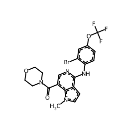 Cn1ccc2c(Nc3ccc(OC(F)(F)F)cc3Br)ncc(C(=O)N3CCOCC3)c21